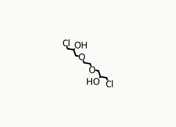 OC(CCl)COCCOCC(O)CCl